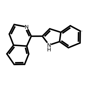 [c]1ccc2[nH]c(-c3nccc4ccccc34)cc2c1